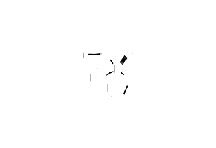 CCOP(=S)(S)OCC.[SnH2]